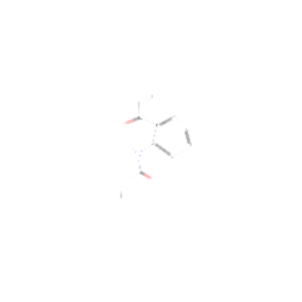 COC(=O)c1ccccc1N(C)C(=O)OC(C)(C)C